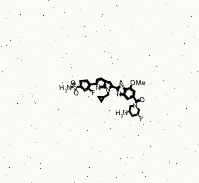 COc1cc(C(=O)N2C[C@H](N)C[C@@H](F)C2)cc2nc(-c3cc4ccc(-c5ccc(S(N)(=O)=O)cc5F)nc4n3CC3CC3)n(C)c12